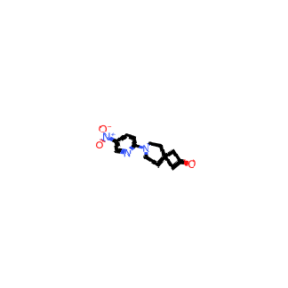 O=C1CC2(CCN(c3ccc([N+](=O)[O-])cn3)CC2)C1